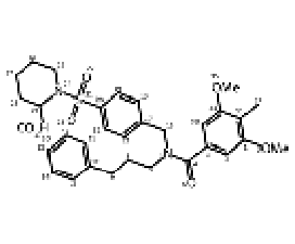 COc1cc(C(=O)N(CCCc2ccccc2)Cc2ccc(S(=O)(=O)N3CCCCC3C(=O)O)cc2)cc(OC)c1C